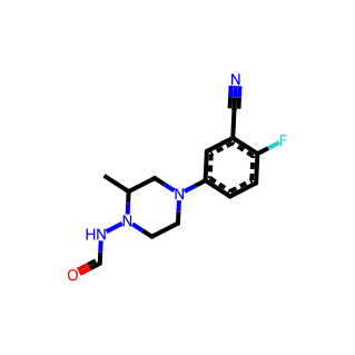 CC1CN(c2ccc(F)c(C#N)c2)CCN1NC=O